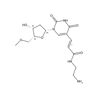 COC[C@H]1O[C@@H](n2cc(/C=C/C(=O)NCCN)c(=O)[nH]c2=O)C[C@H]1O